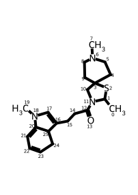 CC1SC2(CCN(C)CC2)CN1C(=O)CCC1=CN(C)C2=CC=CCC12